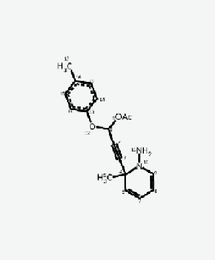 CC(=O)OC(C#CC1(C)C=CC=CN1N)Oc1ccc(C)cc1